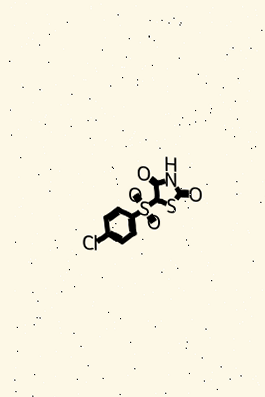 O=C1NC(=O)C(S(=O)(=O)c2ccc(Cl)cc2)S1